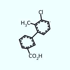 Cc1c(Cl)[c]ccc1-c1cccc(C(=O)O)c1